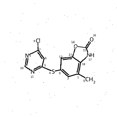 Cc1cc(Sc2cc(Cl)ncn2)cc2oc(=O)[nH]c12